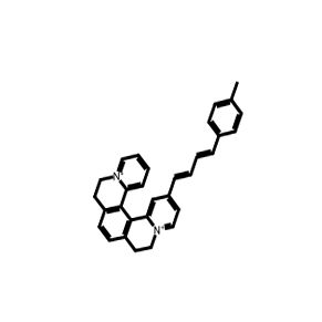 Cc1ccc(/C=C/C=C/c2cc[n+]3c(c2)-c2c(ccc4c2-c2cccc[n+]2CC4)CC3)cc1